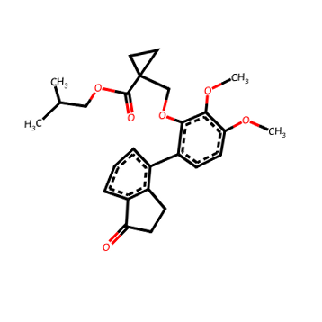 COc1ccc(-c2cccc3c2CCC3=O)c(OCC2(C(=O)OCC(C)C)CC2)c1OC